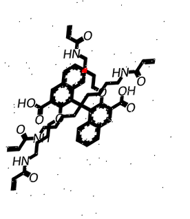 C=CC(=O)NCCCCOc1c(C(=O)O)cc2ccccc2c1C(CCCCNC(=O)C=C)(CCCCNC(=O)C=C)c1c(OCCCCNC(=O)C=C)c(C(=O)O)cc2ccccc12